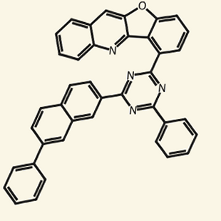 c1ccc(-c2ccc3ccc(-c4nc(-c5ccccc5)nc(-c5cccc6oc7cc8ccccc8nc7c56)n4)cc3c2)cc1